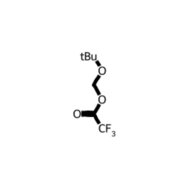 CC(C)(C)OCOC(=O)C(F)(F)F